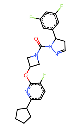 O=C(N1CC(Oc2nc(C3CCCC3)ccc2F)C1)N1N=CCC1c1cc(F)cc(F)c1